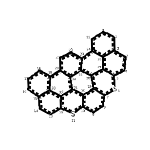 c1cc2ccc3sc4ccc5sc6ccc7cccc8c9ccc%10c(c1)c2c3c1c4c5c(c6c78)c9c%101